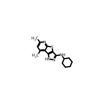 Cc1cc(C)c2c(n1)sc1c(NC3CCCCC3)n[nH]c12